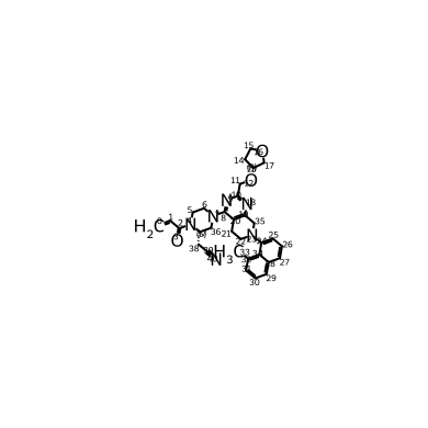 C=CC(=O)N1CCN(c2nc(CO[C@@H]3CCOC3)nc3c2CCN(c2cccc4cccc(C)c24)C3)C[C@@H]1CC#N